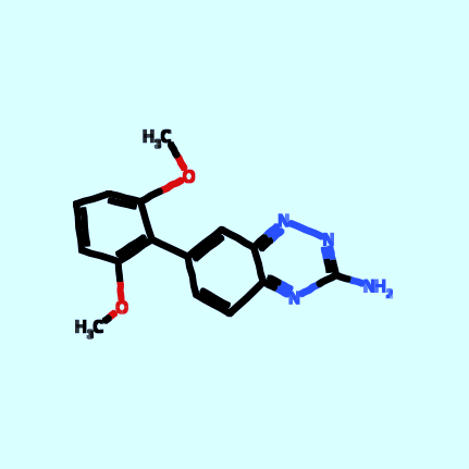 COc1cccc(OC)c1-c1ccc2nc(N)nnc2c1